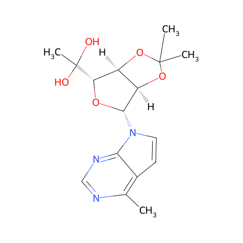 Cc1ncnc2c1ccn2[C@@H]1O[C@H](C(C)(O)O)[C@H]2OC(C)(C)O[C@H]21